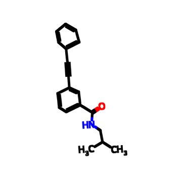 CC(C)CNC(=O)c1cccc(C#Cc2ccccc2)c1